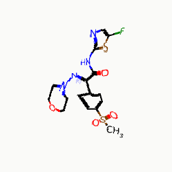 CS(=O)(=O)c1ccc(/C(=N\N2CCOCC2)C(=O)Nc2ncc(F)s2)cc1